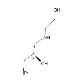 CC(C)C[C@H](O)CNCCO